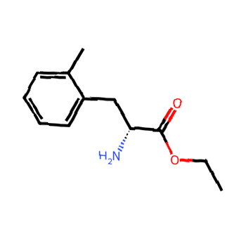 CCOC(=O)[C@H](N)Cc1ccccc1C